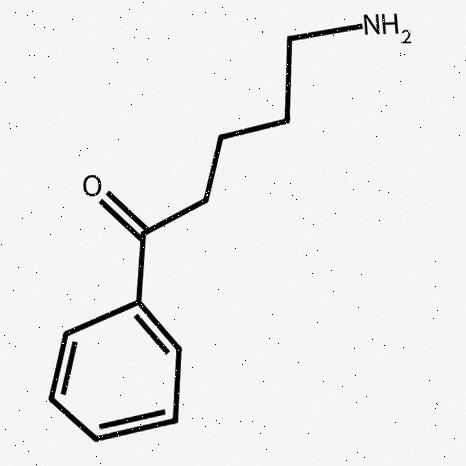 NCCCCC(=O)c1ccccc1